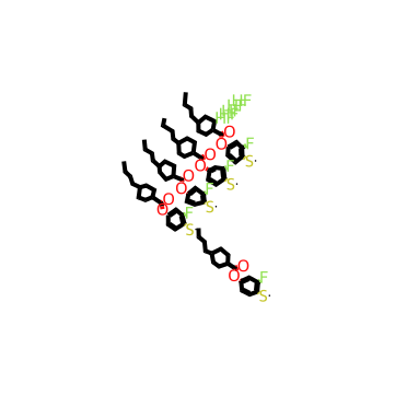 CCCCC1CCC(C(=O)Oc2ccc([S])c(F)c2)CC1.CCCCC1CCC(C(=O)Oc2ccc([S])c(F)c2)CC1.CCCCC1CCC(C(=O)Oc2ccc([S])c(F)c2)CC1.CCCCC1CCC(C(=O)Oc2ccc([S])c(F)c2)CC1.CCCCC1CCC(C(=O)Oc2ccc([S])c(F)c2)CC1.F.F.F.F.F